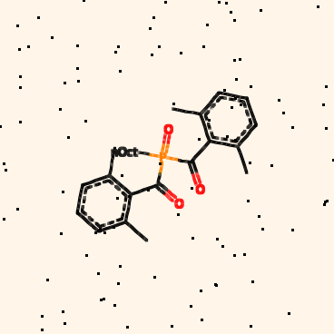 CCCCCCCCP(=O)(C(=O)c1c(C)cccc1C)C(=O)c1c(C)cccc1C